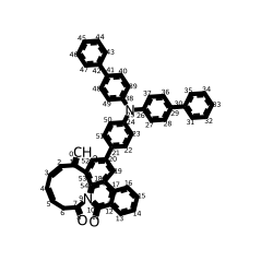 C=C1/C=C\C=C/CC(=O)n2c(=O)c3ccccc3c3cc(-c4ccc(N(c5ccc(-c6ccccc6)cc5)c5ccc(-c6ccccc6)cc5)cc4)cc1c32